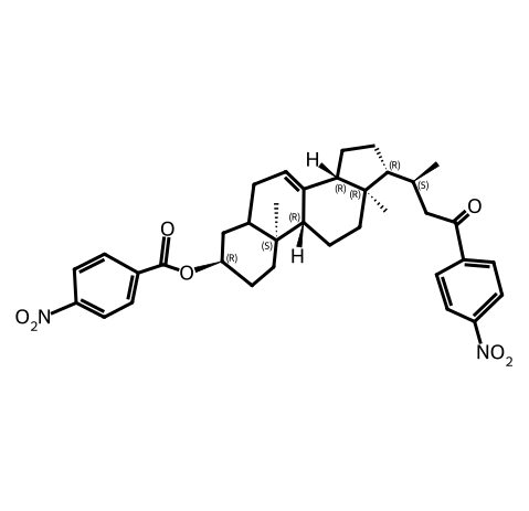 C[C@@H](CC(=O)c1ccc([N+](=O)[O-])cc1)[C@H]1CC[C@H]2C3=CCC4C[C@H](OC(=O)c5ccc([N+](=O)[O-])cc5)CC[C@]4(C)[C@H]3CC[C@]12C